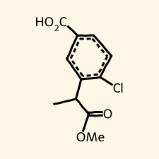 COC(=O)C(C)c1cc(C(=O)O)ccc1Cl